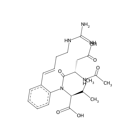 CC(=O)N[C@@H](CC(=O)O)C(=O)N(c1ccccc1C=CCCNC(=N)N)[C@H](C(=O)O)C(C)C